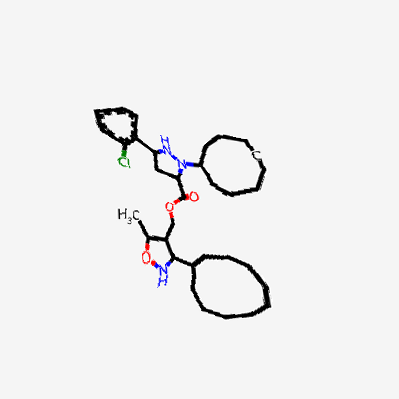 CC1ONC(C2CCCCCCCCC2)C1COC(=O)C1CC(c2ccccc2Cl)NN1C1CCCCCCCC1